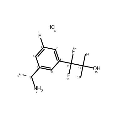 C[C@@H](N)c1cc(F)cc(C(F)(F)C(C)(C)O)c1.Cl